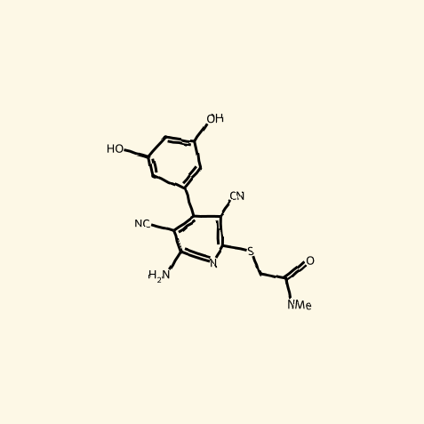 CNC(=O)CSc1nc(N)c(C#N)c(-c2cc(O)cc(O)c2)c1C#N